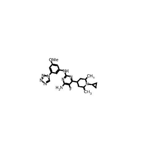 COc1cc(Nc2nc(N)c(F)c(C3CC(C)N(C4CC4)C(C)C3)n2)cc(-n2cnnn2)c1